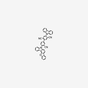 N#Cc1cc(-n2c3ccccc3c3ccccc32)c(C#N)cc1-c1ccc(-n2c3ccccc3c3c4oc5ccccc5c4ccc32)c(C#N)c1